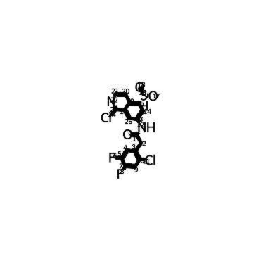 O=C(Cc1cc(F)c(F)cc1Cl)Nc1cc([SH](=O)=O)c2ccnc(Cl)c2c1